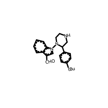 CC(C)(C)c1ccc(C2CNCCN2n2cc(C=O)c3ccccc32)cc1